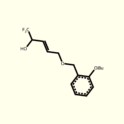 CC(C)COc1ccccc1COCC=CC(O)C(F)(F)F